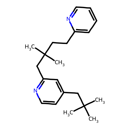 CC(C)(C)Cc1ccnc(CC(C)(C)CCc2ccccn2)c1